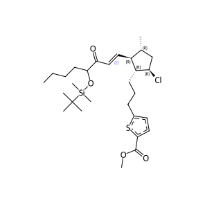 CCCCC(O[Si](C)(C)C(C)(C)C)C(=O)/C=C/[C@@H]1[C@@H](CCCc2ccc(C(=O)OC)s2)[C@H](Cl)C[C@H]1C